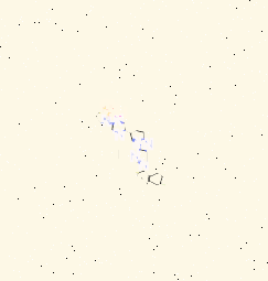 CCc1nc2ccc(-c3cnc(N4CCCS4(O)O)cn3)cn2c1N(CC)c1nc(-c2ccc(F)cc2)c(C#N)s1